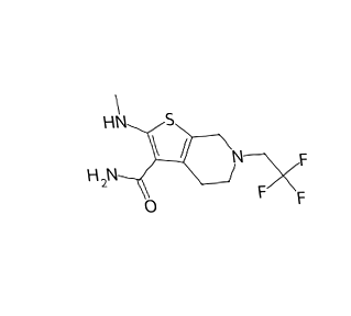 CNc1sc2c(c1C(N)=O)CCN(CC(F)(F)F)C2